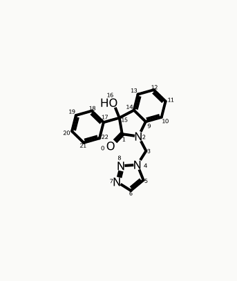 O=C1N(Cn2ccnn2)c2ccccc2C1(O)c1ccccc1